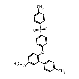 COc1ccc(Oc2ccc(S(=O)(=O)c3ccc(C)cc3)cc2)c(-c2ccc(C)cc2)c1